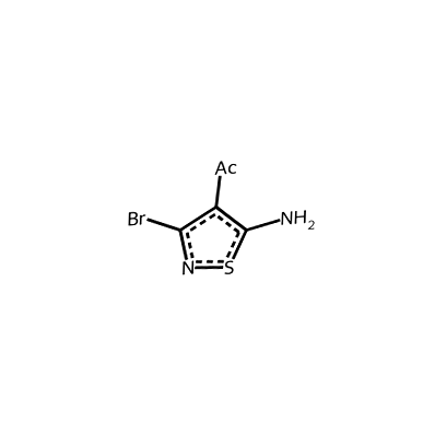 CC(=O)c1c(Br)nsc1N